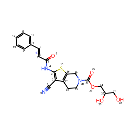 N#Cc1c(NC(=O)/C=C/c2ccccc2)sc2c1CCN(C(=O)OCC(O)CO)C2